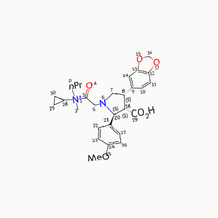 CCC[N+](C)(C(=O)CN1C[C@H](c2ccc3c(c2)OCO3)[C@H](C(=O)O)[C@H]1c1ccc(OC)cc1)C1CC1